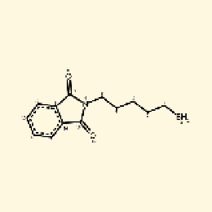 BCCCCCN1C(=O)c2ccccc2C1=O